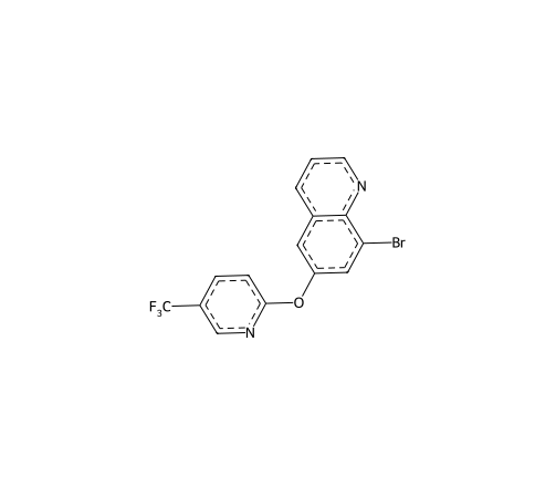 FC(F)(F)c1ccc(Oc2cc(Br)c3ncccc3c2)nc1